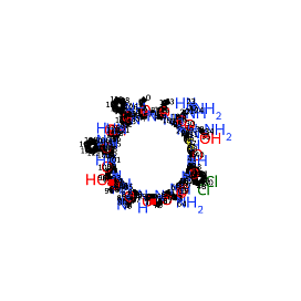 CCCC[C@H]1C(=O)N(C)[C@@H](CCCC)C(=O)N[C@@H](CCCNC(=N)N)C(=O)N[C@H](C(=O)NCC(N)O)CSCC(=O)N[C@@H](Cc2ccc(Cl)c(Cl)c2)C(=O)N(C)[C@@H](C)C(=O)NC(CC(N)=O)C(=O)N2CCC[C@H]2C(=O)N[C@@H](Cc2cnc[nH]2)C(=O)N[C@@H](CC(C)C)C(=O)N2C[C@H](O)CC2C(=O)N[C@@H](Cc2c[nH]c3ccccc23)C(=O)N[C@@H](CO)C(=O)NC(Cc2c[nH]c3ccccc23)C(=O)N1C